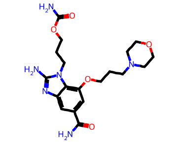 NC(=O)OCCCn1c(N)nc2cc(C(N)=O)cc(OCCCN3CCOCC3)c21